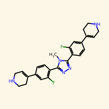 Cn1c(-c2ccc(C3=CCNCC3)cc2F)nnc1-c1ccc(C2=CCNCC2)cc1F